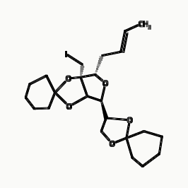 C/C=C/C[C@@H]1O[C@@H](C2COC3(CCCCC3)O2)C2OC3(CCCCC3)O[C@]21CI